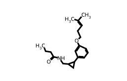 CCCC(=O)NCC1CC1c1cccc(OCCC=C(C)C)c1